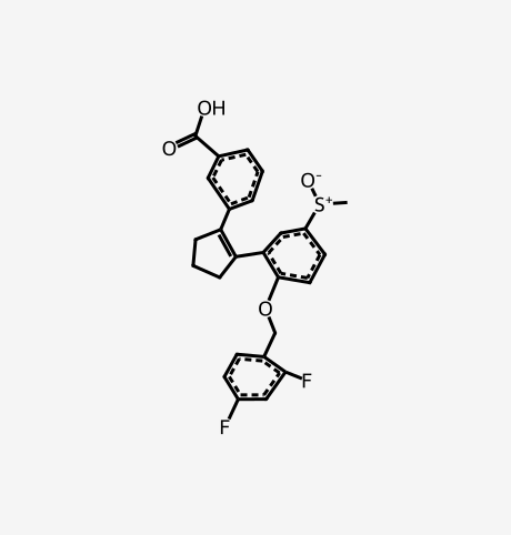 C[S+]([O-])c1ccc(OCc2ccc(F)cc2F)c(C2=C(c3cccc(C(=O)O)c3)CCC2)c1